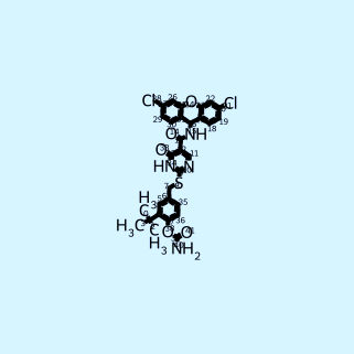 CC(C)(C)c1cc(CSc2ncc(C(=O)NC3c4ccc(Cl)cc4Oc4cc(Cl)ccc43)c(=O)[nH]2)ccc1OC(N)=O